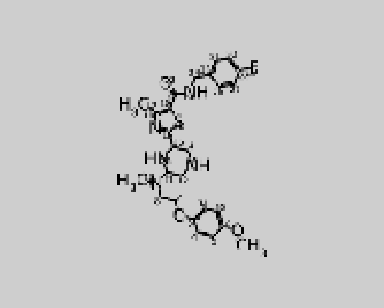 COc1ccc(OCCN(C)C2CNCC(c3nc(C)c(C(=O)NCc4ccc(F)cc4)s3)N2)cc1